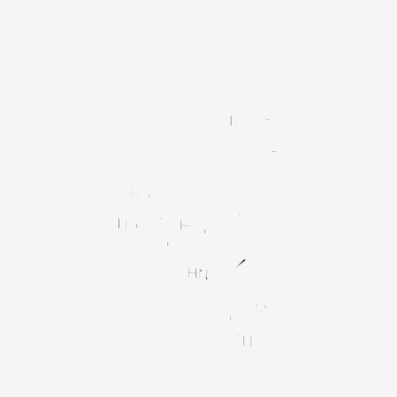 COC(=O)[C@H](CCSCCCC(F)(F)F)NC(=O)OC(C)(C)C